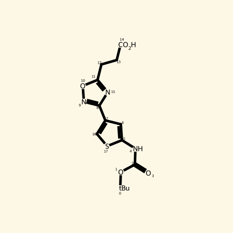 CC(C)(C)OC(=O)Nc1cc(-c2noc(CCC(=O)O)n2)cs1